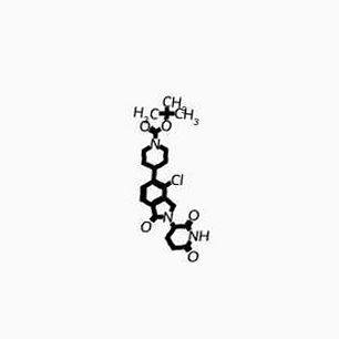 CC(C)(C)OC(=O)N1CCC(c2ccc3c(c2Cl)CN(C2CCC(=O)NC2=O)C3=O)CC1